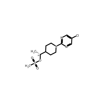 C[C@@H](OS(C)(=O)=O)C1CCN(c2ncc(Cl)cn2)CC1